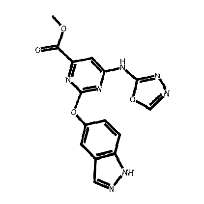 COC(=O)c1cc(Nc2nnco2)nc(Oc2ccc3[nH]ncc3c2)n1